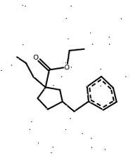 CCCC1(C(=O)OCC)CCC(Cc2ccccc2)C1